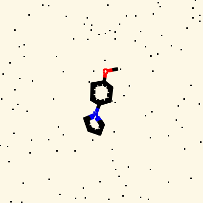 COc1c[c]c(-n2cccc2)cc1